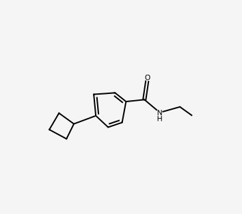 CCNC(=O)c1ccc(C2CCC2)cc1